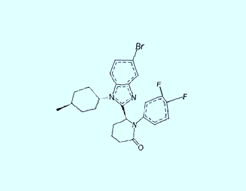 C[C@H]1CC[C@H](n2c([C@@H]3CCCC(=O)N3c3ccc(F)c(F)c3)nc3cc(Br)ccc32)CC1